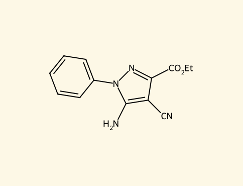 CCOC(=O)c1nn(-c2ccccc2)c(N)c1C#N